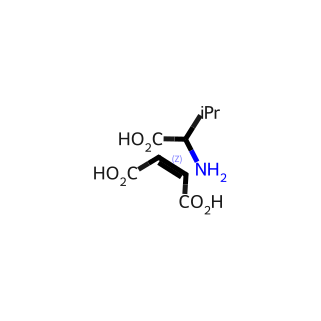 CC(C)C(N)C(=O)O.O=C(O)/C=C\C(=O)O